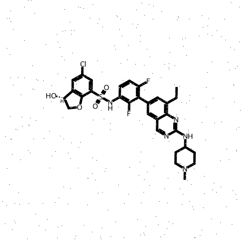 CCc1cc(-c2c(F)ccc(NS(=O)(=O)c3cc(Cl)cc4c3OC[C@@H]4O)c2F)cc2cnc(NC3CCN(C)CC3)nc12